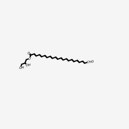 O=CCCCCCCCCCCCCCCCCCCCCC(=O)OCC(O)CO